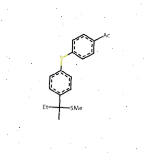 CCC(C)(SC)c1ccc(Sc2ccc(C(C)=O)cc2)cc1